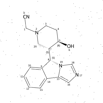 N#CCN1CC[C@@H](O)[C@H]([C@H]2c3ccccc3-c3cncn32)C1